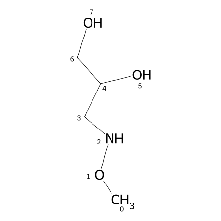 CONCC(O)CO